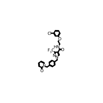 O=C(NCCOc1cccc(Cl)c1)c1cn(Cc2ccc(Cn3ccccc3=O)cc2)nc1C(F)(F)F